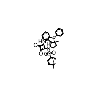 Cc1ccc(S(=O)(=O)Nc2c(N[C@H](C)[C@@H]3CCCC3(C)P(c3ccccc3)c3ccccc3)c(=O)c2=O)cc1